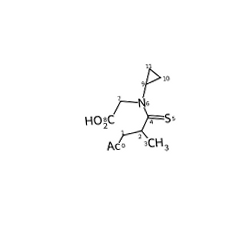 CC(=O)CC(C)C(=S)N(CC(=O)O)C1CC1